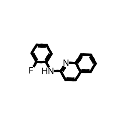 Fc1ccccc1Nc1ccc2ccccc2n1